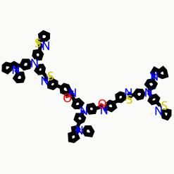 c1ccc(-n2c(-c3ccc(N(c4ccc(-c5nc6ccc(-c7ccc8nc(-c9ccc(N(c%10ccc(-c%11nc%12ccccc%12s%11)cc%10)c%10ccc(-c%11cc%12ccccc%12n%11-c%11ccccc%11)cc%10)cc9)sc8c7)cc6o5)cc4)c4ccc(-c5nc6ccc(-c7ccc8nc(-c9ccc(N(c%10ccc(-c%11nc%12ccccc%12s%11)cc%10)c%10ccc(-n%11ccc%12ccccc%12%11)cc%10)cc9)sc8c7)cc6o5)cc4)cc3)cc3ccccc32)cc1